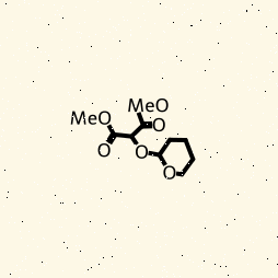 COC(=O)C(OC1CCCCO1)C(=O)OC